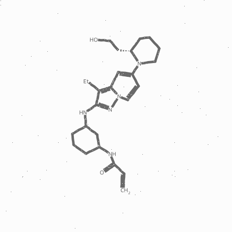 C=CC(=O)NC1CCCC(Nc2nn3ccc(N4CCCC[C@H]4CCO)cc3c2CC)C1